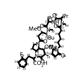 CC[C@H](C)[C@H]([C@@H](CC(=O)N1CCCC1[C@H](OC)[C@@H](C)C(=O)NC(Cc1ccccc1F)C(=O)O)OC)N(C)C(=O)C(NC(=O)C(C(C)C)N(C)C(=O)CCCCCN1C(=O)C=CC1=O)C(C)C